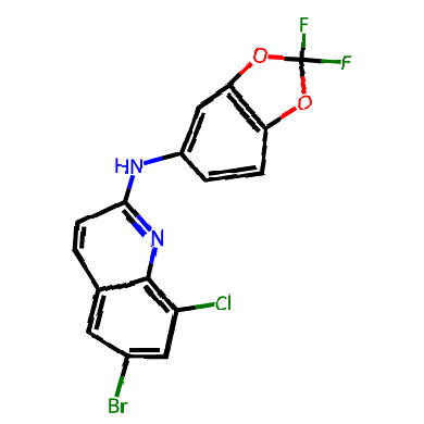 FC1(F)Oc2ccc(Nc3ccc4cc(Br)cc(Cl)c4n3)cc2O1